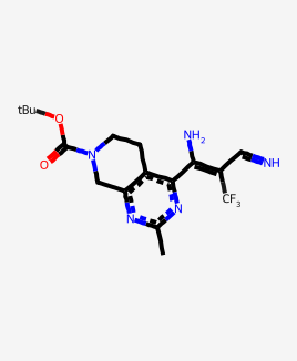 Cc1nc2c(c(/C(N)=C(/C=N)C(F)(F)F)n1)CCN(C(=O)OC(C)(C)C)C2